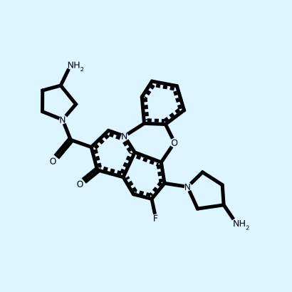 NC1CCN(C(=O)c2cn3c4c(c(N5CCC(N)C5)c(F)cc4c2=O)Oc2ccccc2-3)C1